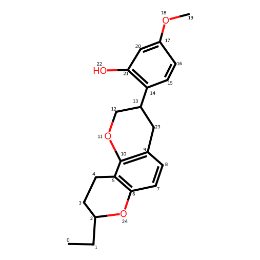 CCC1CCc2c(ccc3c2OCC(c2ccc(OC)cc2O)C3)O1